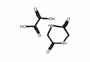 O=C(O)C(=O)O.O=C1CNC(=O)CN1